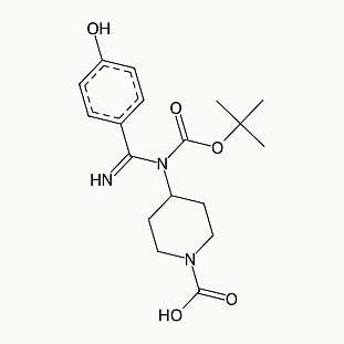 CC(C)(C)OC(=O)N(C(=N)c1ccc(O)cc1)C1CCN(C(=O)O)CC1